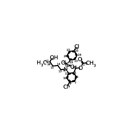 CC(=O)OCc1ccc(Cl)cc1N(CCC[C@@H](C)O)S(=O)(=O)c1ccc(Cl)cc1